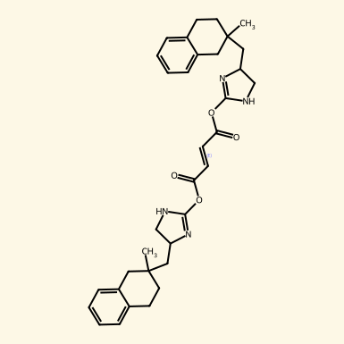 CC1(CC2CNC(OC(=O)/C=C/C(=O)OC3=NC(CC4(C)CCc5ccccc5C4)CN3)=N2)CCc2ccccc2C1